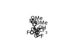 COc1ncc2cc(C(=O)NC[C@](O)(c3cc4c(c(-c5ccc(F)cc5)n3)OC[C@]4(C)CF)C(F)(F)F)cc(OC)c2n1